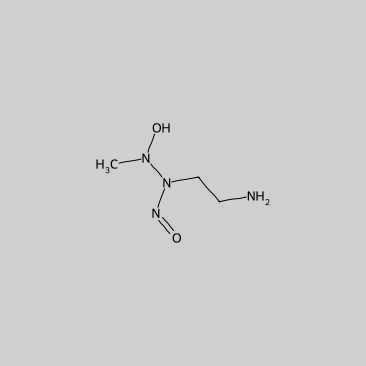 CN(O)N(CCN)N=O